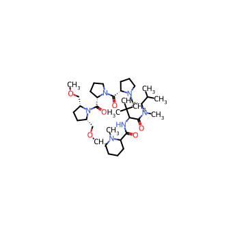 COC[C@H]1CC[C@@H](COC)N1C(=O)[C@@H]1CCCN1C(=O)[C@@H]1CCCN1C[C@H](C(C)C)N(C)C(=O)[C@@H](NC(=O)C1CCCCN1C)C(C)(C)C